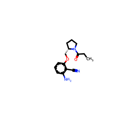 CCC(=O)N1CCC[C@H]1COc1cccc(N)c1C#N